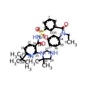 CCN(C(=O)c1cccc(S(=O)(=O)NC(=O)c2ccc(C(C)(C)C)nc2N2CNCC2(C)C)c1)c1ccccc1